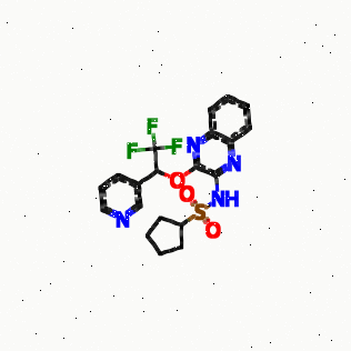 O=S(=O)(Nc1nc2ccccc2nc1OC(c1cccnc1)C(F)(F)F)C1CCCC1